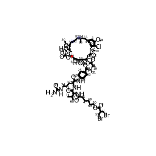 COc1cc2cc(c1Cl)N(C)C(=O)C[C@H](OC(=O)[C@H](C)N(C)C(=O)c1ccc(NC(=O)[C@H](CCCNC(N)=O)NC(=O)[C@@H](NC(=O)CCCCCOC(=O)C(CBr)CBr)C(C)C)cc1)[C@]1(C)O[C@H]1[C@H](C)[C@@H]1C[C@@](O)(NC(=O)O1)[C@H](OC)/C=C/C=C(\C)C2